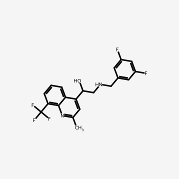 Cc1cc(C(O)CNCc2cc(F)cc(F)c2)c2cccc(C(F)(F)F)c2n1